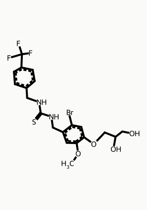 COc1cc(CNC(=S)NCc2ccc(C(F)(F)F)cc2)c(Br)cc1OCC(O)CO